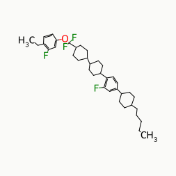 CCCCCC1CCC(c2ccc(C3CCC(C4CCC(C(F)(F)Oc5ccc(CC)c(F)c5)CC4)CC3)c(F)c2)CC1